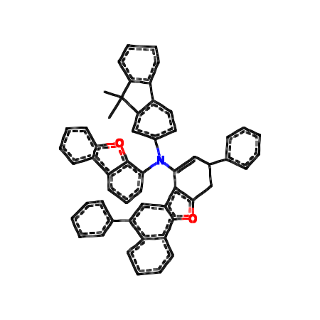 CC1(C)c2ccccc2-c2ccc(N(C3=CC(c4ccccc4)Cc4oc5c(cc(-c6ccccc6)c6ccccc65)c43)c3cccc4c3oc3ccccc34)cc21